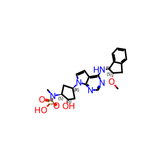 CO[C@H]1Cc2ccccc2[C@H]1Nc1ncnc2c1ccn2[C@H]1C[C@H](O)[C@@H](N(C)S(=O)(=O)O)C1